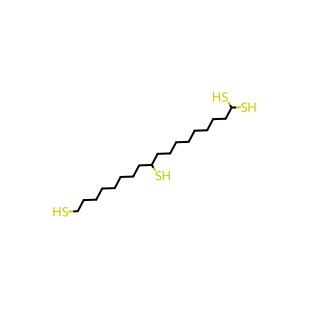 SCCCCCCCCC(S)CCCCCCCCC(S)S